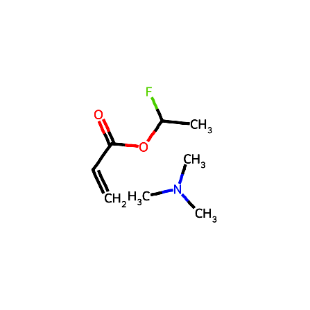 C=CC(=O)OC(C)F.CN(C)C